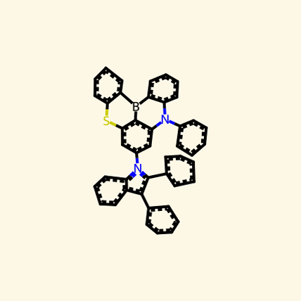 c1ccc(-c2c(-c3ccccc3)n(-c3cc4c5c(c3)N(c3ccccc3)c3ccccc3B5c3ccccc3S4)c3ccccc23)cc1